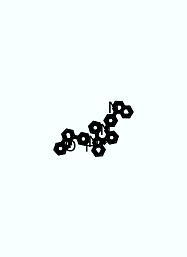 CC12c3ccccc3N(c3ccc(C4=NC=CC5C=CC=CC45)cc3)c3ccccc3C1N(c1ccc(C3=CCC=C4c5ccccc5OC34)cc1)[C@@H]1C=CC=CC12